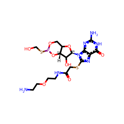 NCCOCCNC(=O)CSc1nc2c(=O)[nH]c(N)nc2n1[C@@H]1OC2COP(SCO)O[C@H]2C1O